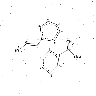 C=C(CCCC)c1ccccc1.CC(C)C=Cc1ccccc1